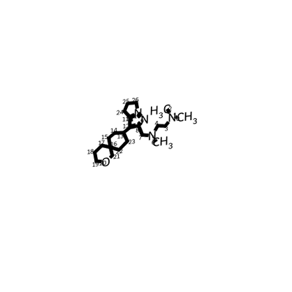 CN(C)CCN(C)Cc1nn2c(c1C1CCC3(CCCOC3)CC1)CCC2